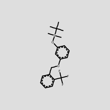 CC(C)(C)[Si](C)(C)Oc1cccc(OCc2ccccc2C(F)(F)F)c1